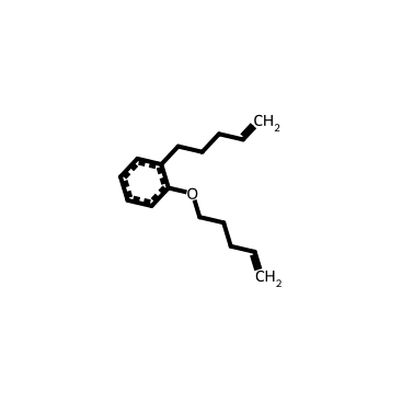 C=CCCCOc1ccccc1CCCC=C